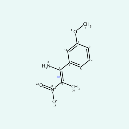 COc1cccc(/C(N)=C(\C)[N+](=O)[O-])c1